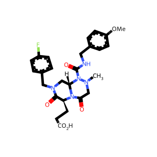 COc1ccc(CNC(=O)N2[C@H]3CN(Cc4ccc(F)cc4)C(=O)[C@H](CCC(=O)O)N3C(=O)CN2C)cc1